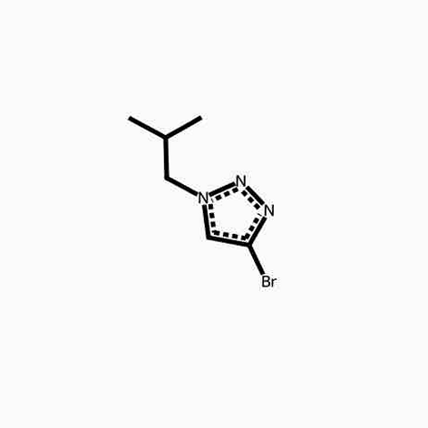 CC(C)Cn1cc(Br)nn1